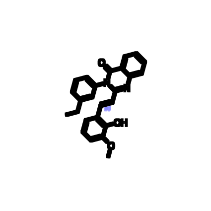 CCc1cccc(-n2c(/C=C/c3cccc(OC)c3O)nc3ccccc3c2=O)c1